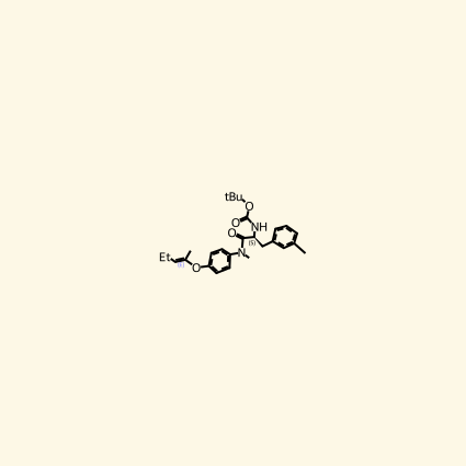 CC/C=C(\C)Oc1ccc(N(C)C(=O)[C@H](Cc2cccc(C)c2)NC(=O)OC(C)(C)C)cc1